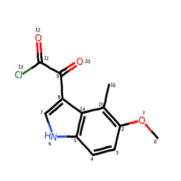 COc1ccc2[nH]cc(C(=O)C(=O)Cl)c2c1C